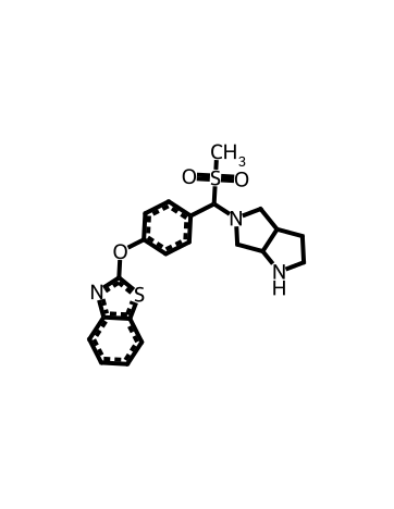 CS(=O)(=O)C(c1ccc(Oc2nc3ccccc3s2)cc1)N1CC2CCNC2C1